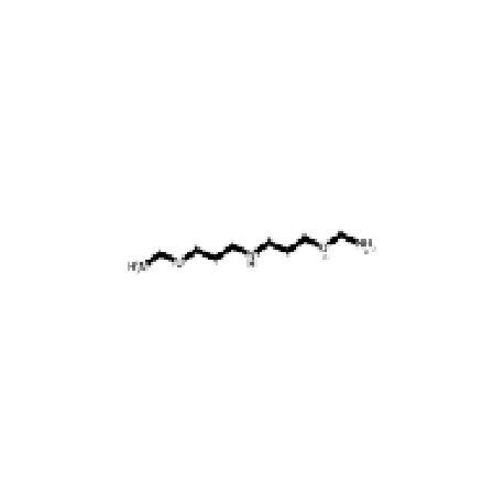 NCOCCCNCCCOCN